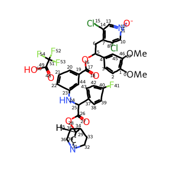 COc1ccc(C(Cc2c(Cl)c[n+]([O-])cc2Cl)OC(=O)c2cccc(NC(C(=O)O[C@H]3CN4CCC3CC4)c3ccc(F)cc3)c2)cc1OC.O=C(O)C(F)(F)F